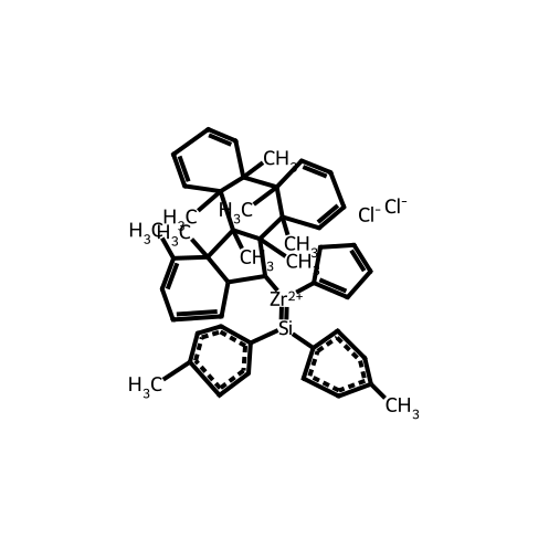 CC1=CC=CC2[CH]([Zr+2]([C]3=CC=CC3)=[Si](c3ccc(C)cc3)c3ccc(C)cc3)C3(C)C4(C)C=CC=CC4(C)C4(C)C=CC=CC4(C)C3(C)C12C.[Cl-].[Cl-]